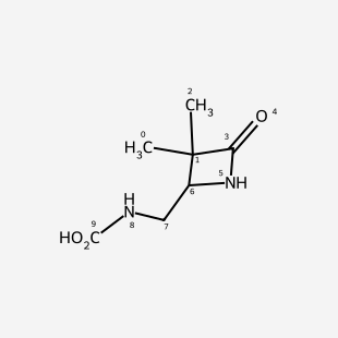 CC1(C)C(=O)NC1CNC(=O)O